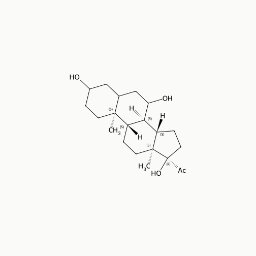 CC(=O)[C@@]1(O)CC[C@H]2[C@@H]3C(O)CC4CC(O)CC[C@]4(C)[C@H]3CC[C@@]21C